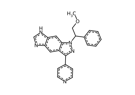 COCC(c1ccccc1)n1nc(-c2ccncc2)c2cc3nc[nH]c3cc21